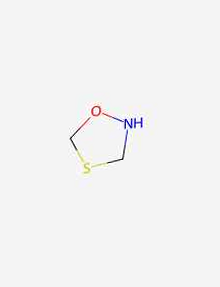 C1NOCS1